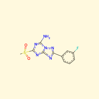 CS(=O)(=O)c1nc(N)n2nc(-c3cccc(F)c3)nc2n1